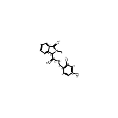 CN1C(=O)c2ccccc2C1C(=O)NCc1ccc(Cl)cc1Cl